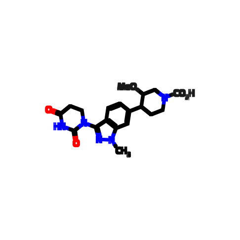 COC1CN(C(=O)O)CCC1c1ccc2c(N3CCC(=O)NC3=O)nn(C)c2c1